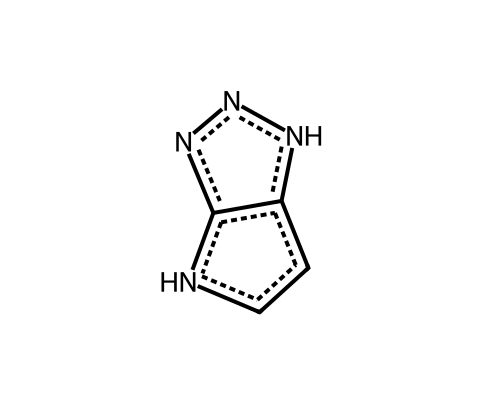 c1cc2[nH]nnc2[nH]1